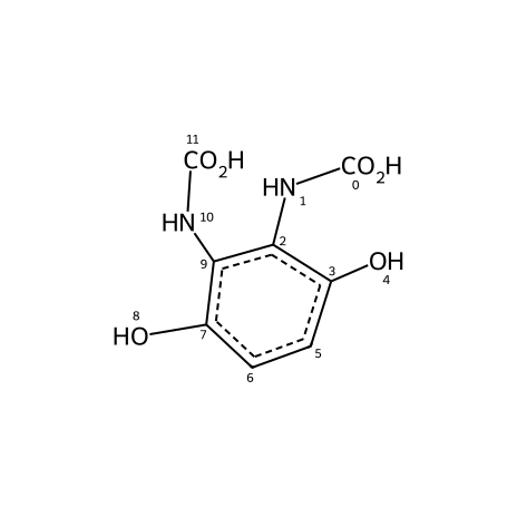 O=C(O)Nc1c(O)ccc(O)c1NC(=O)O